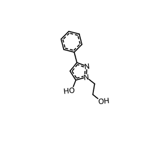 OCCn1nc(-c2ccccc2)cc1O